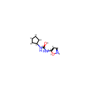 O=C(Nc1ccno1)NC1CCCC1